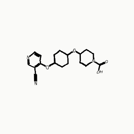 N#Cc1cnccc1OC1CCC(OC2CCN(C(=O)O)CC2)CC1